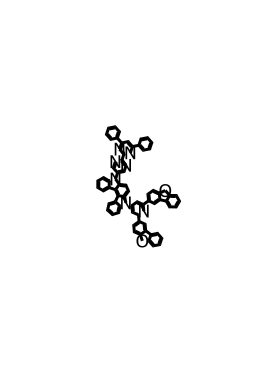 c1ccc(-c2cc(-c3ccccc3)nc(-c3ncc(-n4c5ccccc5c5c6c7ccccc7n(-c7cc(-c8ccc9oc%10ccccc%10c9c8)nc(-c8ccc9oc%10ccccc%10c9c8)c7)c6ccc54)cn3)n2)cc1